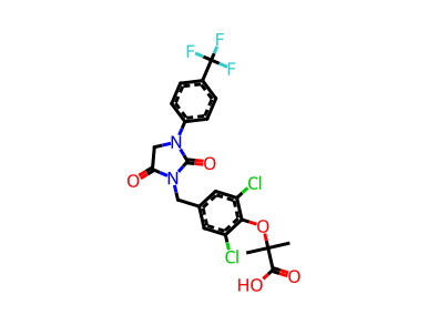 CC(C)(Oc1c(Cl)cc(CN2C(=O)CN(c3ccc(C(F)(F)F)cc3)C2=O)cc1Cl)C(=O)O